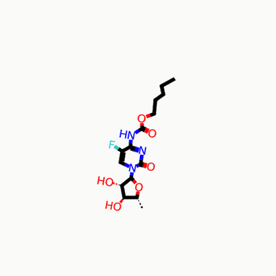 CCCCCOC(=O)Nc1nc(=O)n(C2O[C@H](C)[C@@H](O)[C@@H]2O)cc1F